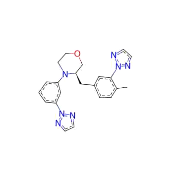 Cc1ccc(C[C@@H]2COCCN2c2cccc(-n3nccn3)c2)cc1-n1nccn1